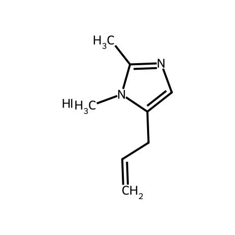 C=CCc1cnc(C)n1C.I